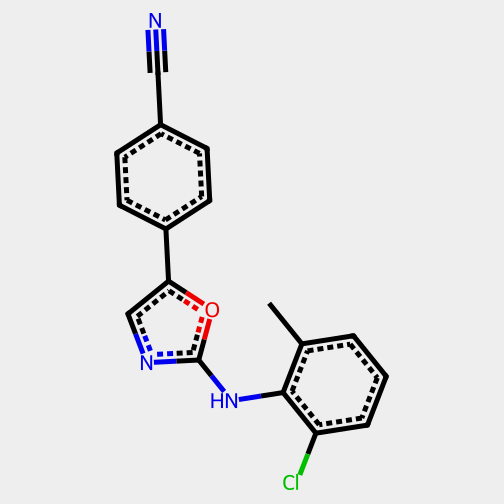 Cc1cccc(Cl)c1Nc1ncc(-c2ccc(C#N)cc2)o1